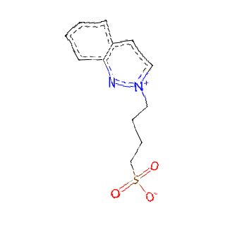 O=S(=O)([O-])CCCC[n+]1ccc2ccccc2n1